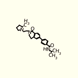 CC(C)NC(=O)c1ccc(-c2ccc3c(c2)CCN(CCN2CCC[C@H]2C)C3=O)cc1